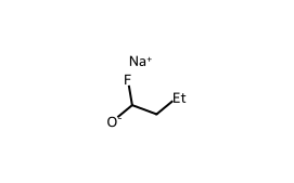 CCCC([O-])F.[Na+]